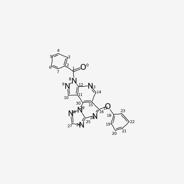 O=C(c1ccccc1)n1ncc2c1ncc1c(Oc3ccccc3)nc3ncnn3c12